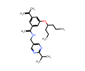 C=C(C)c1cc(OC(CCC)CCC)cc(C(=C)NCc2cnc(C(C)C)nc2)c1